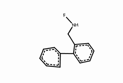 FNCc1ccccc1-c1ccccc1